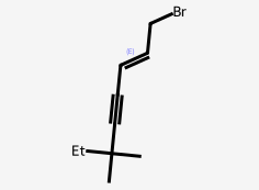 CCC(C)(C)C#C/C=C/CBr